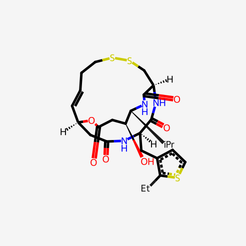 CCc1sccc1C[C@H]1NC(=O)C[C@H]2/C=C/CCSSC[C@@H](NC1=O)C(=O)N[C@H](C(C)C)[C@@H](O)CC(=O)O2